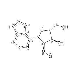 OC[C@H]1O[C@@H](c2ncnc3[nH]cnc23)[C@H](OCl)[C@@H]1O